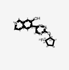 Oc1cc2cnccc2cc1-c1cnc(O[C@H]2CCC[C@@H]2F)nn1